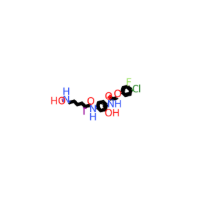 O=C(COc1ccc(Cl)c(F)c1)NC12CCC(NC(=O)C(I)CCCCNO)(CC1)CC2O